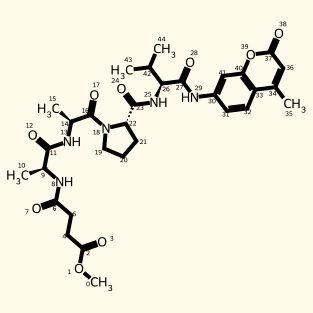 COC(=O)CCC(=O)N[C@@H](C)C(=O)N[C@@H](C)C(=O)N1CCC[C@H]1C(=O)N[C@H](C(=O)Nc1ccc2c(C)cc(=O)oc2c1)C(C)C